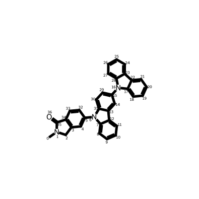 CN1Cc2cc(-n3c4ccccc4c4cc(-n5c6ccccc6c6ccccc65)ccc43)ccc2C1=O